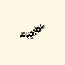 CC(O)CNC(=O)c1ncc(S(=O)(=O)c2ccc(C(F)(F)F)cc2F)cc1N